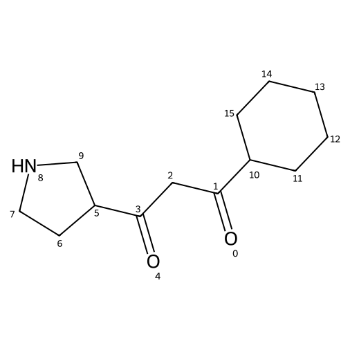 O=C(CC(=O)C1CCNC1)C1CCCCC1